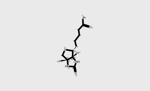 CC(C)C(=O)CCCC[C@H]1SC[C@H]2NC(=O)N[C@H]21